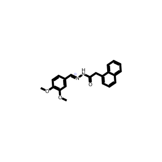 COc1ccc(/C=N/NC(=O)Cc2cccc3ccccc23)cc1OC